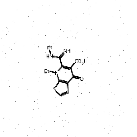 CCNC(=N)c1c(C(=O)O)c(=O)c2ccsc2n1CC